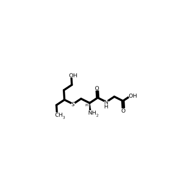 CCC(CCO)SC[C@H](N)C(=O)NCC(=O)O